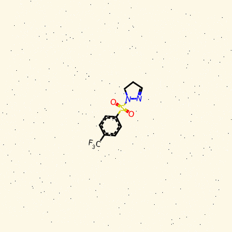 O=S(=O)(c1ccc(C(F)(F)F)cc1)N1CCC=N1